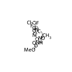 COCCOC(=O)Nc1ccc2c(c1)NC(=O)C(C)CCCC(N1CC[C@H](c3c(F)ccc(Cl)c3F)OC1=O)c1ccnc-2c1